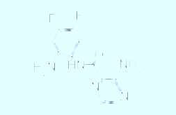 Nc1cc(F)c(F)cc1NC(=O)c1nccnc1N